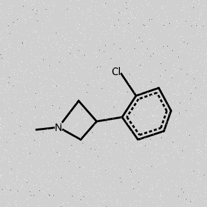 CN1CC(c2ccccc2Cl)C1